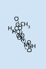 Cc1cc(C=C(OC(=O)N2CCC(N3CCc4ccccc4NC3=O)CC2)C(=O)O)cc(C)c1OCc1ccccc1